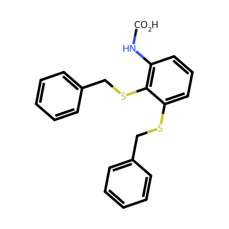 O=C(O)Nc1cccc(SCc2ccccc2)c1SCc1ccccc1